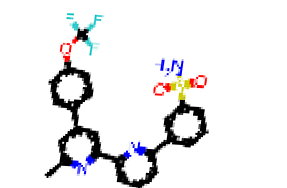 Cc1cc(-c2ccc(OC(F)(F)F)cc2)cc(-c2cccc(-c3cccc(S(N)(=O)=O)c3)n2)n1